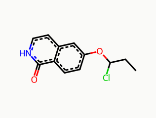 CCC(Cl)Oc1ccc2c(=O)[nH]ccc2c1